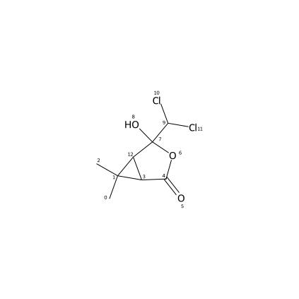 CC1(C)C2C(=O)OC(O)(C(Cl)Cl)C21